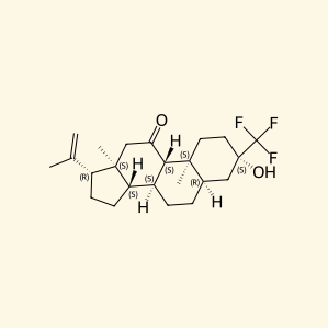 C=C(C)[C@H]1CC[C@H]2[C@@H]3CC[C@@H]4C[C@](O)(C(F)(F)F)CC[C@]4(C)[C@H]3C(=O)C[C@]12C